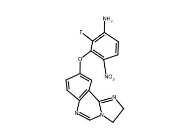 Nc1ccc([N+](=O)[O-])c(Oc2ccc3c(c2)C2=NCCN2C=N3)c1F